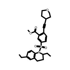 CCc1ccc2c(c1)CCC(CC)N2S(=O)(=O)c1ccc(C#CC2CCOCC2)c(C(=O)OC)c1